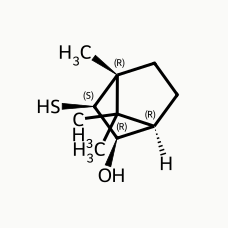 CC1(C)[C@H]2CC[C@@]1(C)[C@H](S)[C@@H]2O